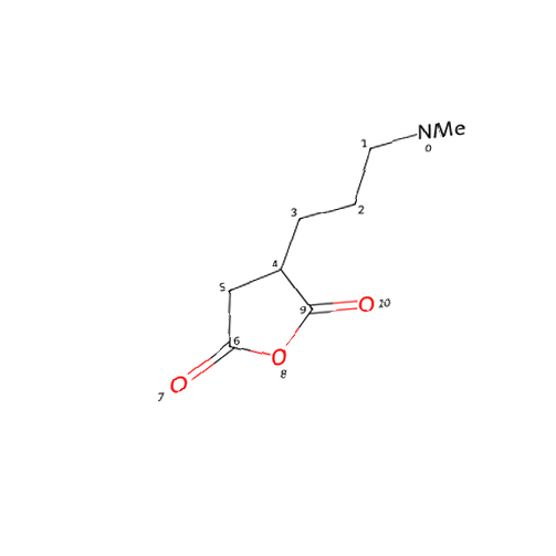 CNCCCC1CC(=O)OC1=O